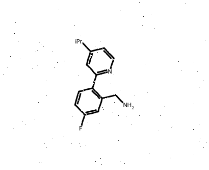 CC(C)c1ccnc(-c2ccc(F)cc2CN)c1